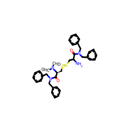 NC(CSSC[C@@H](C(=O)N(Cc1ccccc1)Cc1ccccc1)N(C=O)C=O)C(=O)N(Cc1ccccc1)Cc1ccccc1